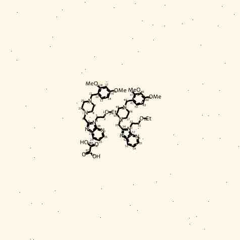 CCOCCn1c(CN2CCN(Cc3ccc(OC)cc3OC)CC2)nc2cccnc21.CCOCCn1c(CN2CCN(Cc3ccc(OC)cc3OC)CC2)nc2cccnc21.O=C(O)C(=O)O